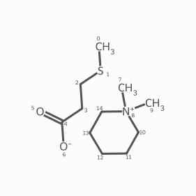 CSCCC(=O)[O-].C[N+]1(C)CCCCC1